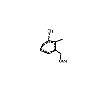 COCc1cccc(O)c1F